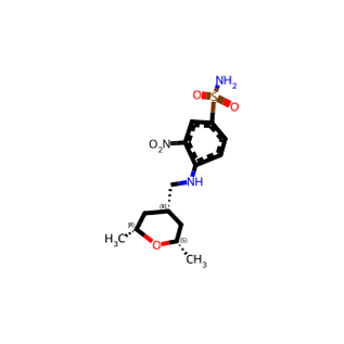 C[C@@H]1C[C@H](CNc2ccc(S(N)(=O)=O)cc2[N+](=O)[O-])C[C@H](C)O1